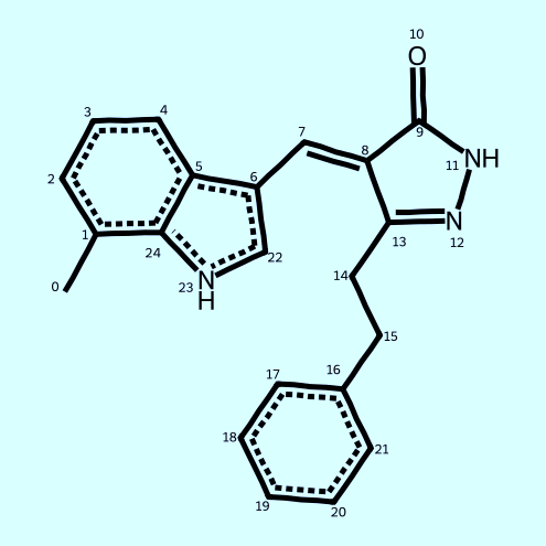 Cc1cccc2c(C=C3C(=O)NN=C3CCc3ccccc3)c[nH]c12